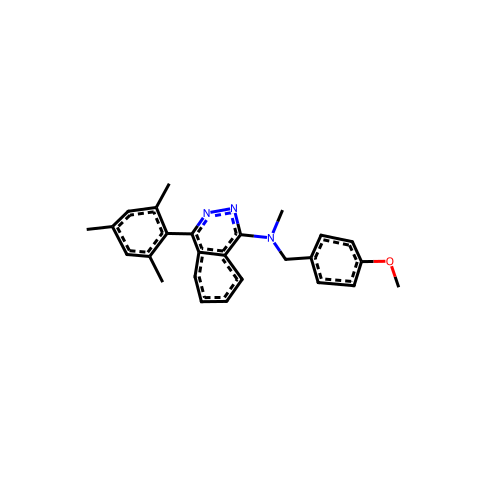 COc1ccc(CN(C)c2nnc(-c3c(C)cc(C)cc3C)c3ccccc23)cc1